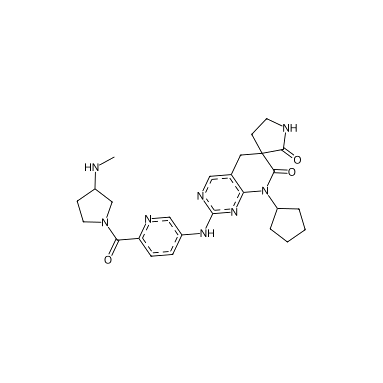 CNC1CCN(C(=O)c2ccc(Nc3ncc4c(n3)N(C3CCCC3)C(=O)C3(CCNC3=O)C4)cn2)C1